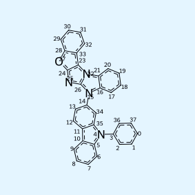 c1ccc(-n2c3ccccc3c3ccc(-n4c5ccccc5n5c6c(nc45)oc4ccccc46)cc32)cc1